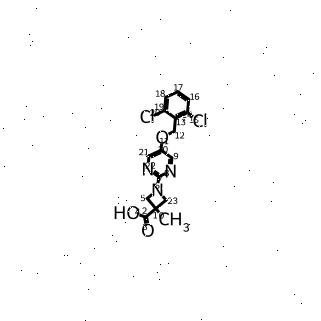 CC1(C(=O)O)CN(c2ncc(OCc3c(Cl)cccc3Cl)cn2)C1